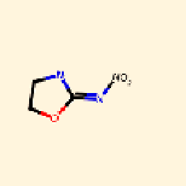 O=[N+]([O-])/N=C1\[N]CCO1